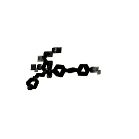 Cc1ccc(C#Cc2ccc(S(=O)(=O)N(CCN3CCOCC3)[C@H](C)C(=O)NO)cc2)cc1.Cl